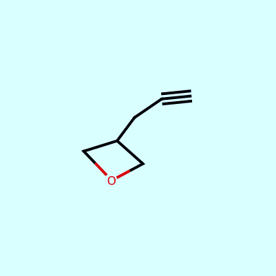 C#CCC1COC1